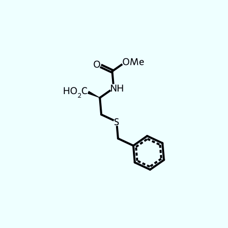 COC(=O)N[C@@H](CSCc1ccccc1)C(=O)O